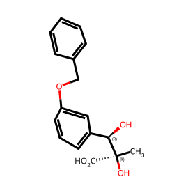 C[C@](O)(C(=O)O)[C@H](O)c1cccc(OCc2ccccc2)c1